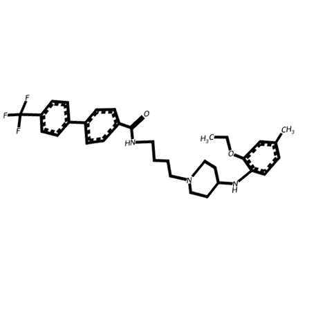 CCOc1cc(C)ccc1NC1CCN(CCCCNC(=O)c2ccc(-c3ccc(C(F)(F)F)cc3)cc2)CC1